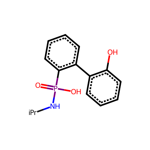 CC(C)NP(=O)(O)c1ccccc1-c1ccccc1O